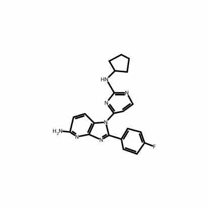 Nc1ccc2c(n1)nc(-c1ccc(F)cc1)n2-c1ccnc(NC2CCCC2)n1